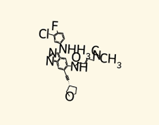 CN(C)C/C=C/C(=O)Nc1cc2c(Nc3ccc(F)c(Cl)c3)ncnc2cc1C#C[C@@H]1CCOC1